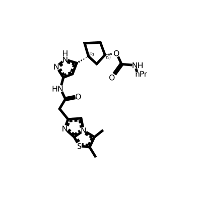 CCCNC(=O)O[C@H]1CC[C@@H](c2cc(NC(=O)Cc3cn4c(C)c(C)sc4n3)n[nH]2)C1